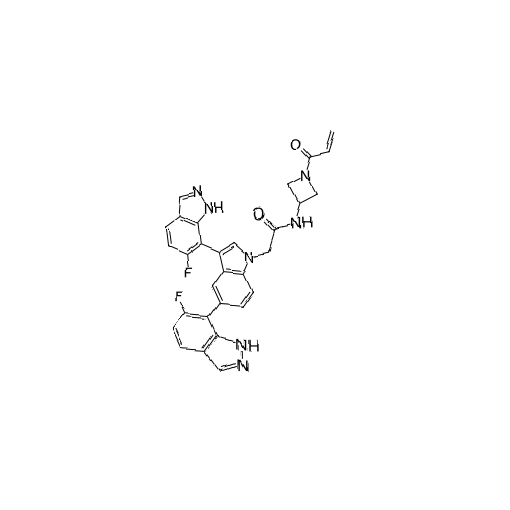 C=CC(=O)N1CC(NC(=O)Cn2cc(-c3c(F)ccc4cn[nH]c34)c3cc(-c4c(F)ccc5cn[nH]c45)ccc32)C1